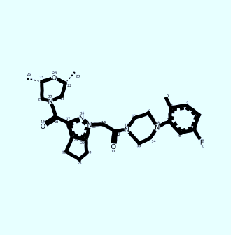 Cc1ccc(F)cc1N1CCN(C(=O)Cn2nc(C(=O)N3C[C@@H](C)O[C@@H](C)C3)c3c2CCC3)CC1